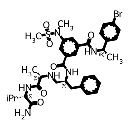 CC(C)[C@H](NC(=O)[C@H](C)NC[C@H](Cc1ccccc1)NC(=O)c1cc(C(=O)N[C@H](C)c2ccc(Br)cc2)cc(N(C)S(C)(=O)=O)c1)C(N)=O